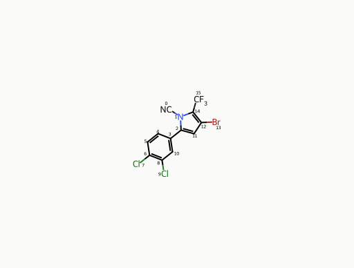 N#Cn1c(-c2ccc(Cl)c(Cl)c2)cc(Br)c1C(F)(F)F